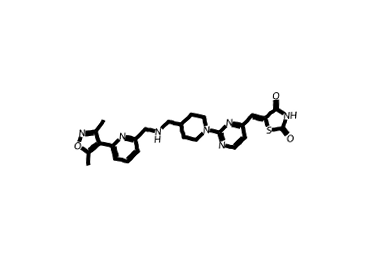 Cc1noc(C)c1-c1cccc(CNCC2CCN(c3nccc(/C=C4\SC(=O)NC4=O)n3)CC2)n1